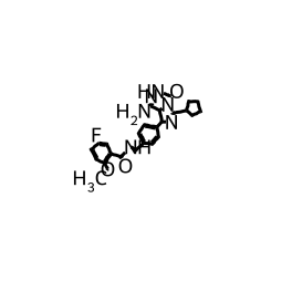 COc1ccc(F)cc1C(=O)NCc1ccc(C2N=C(C3CCCC3)N3C(=O)NN=C(N)C23)cc1